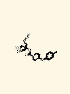 Cc1ccc(SC2CCN(C(=O)OC(C=N)(C=N)CN=[N+]=[N-])CC2)cc1